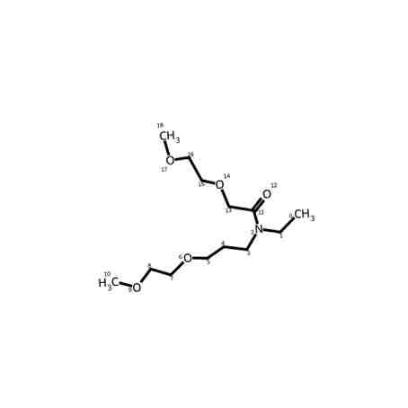 CCN(CCCOCCOC)C(=O)COCCOC